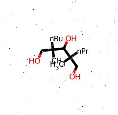 CCCCC(C)(CO)C(O)C(C)(CO)CCC